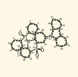 O=P(c1ccccc1)(c1ccccc1)N1c2ccccc2S(=O)(=O)c2cc(-n3c4ccccc4c4ccccc43)ccc21